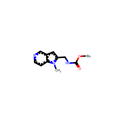 Cn1c(CNC(=O)OC(C)(C)C)cc2cnccc21